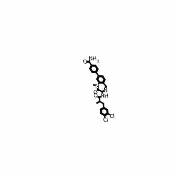 CC(Cc1ccc(Cl)c(Cl)c1)C(=O)NC1N=Cc2ccc(-c3ccc(C(N)=O)cc3)cc2N(C)C1=O